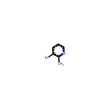 C[CH]c1cccnc1C